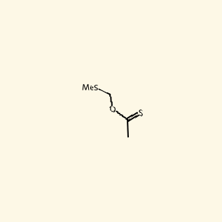 CSCOC(C)=S